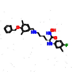 Cc1cc(N[C@H](CCCCNCc2cc(C)c(OCc3ccccc3)c(C)c2)C(=O)NO)ccc1F